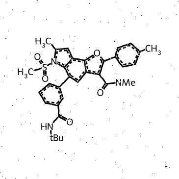 CNC(=O)c1c(-c2ccc(C)cc2)oc2c1cc(-c1cccc(C(=O)NC(C)(C)C)c1)c1c2cc(C)n1S(C)(=O)=O